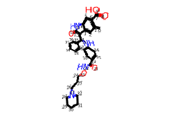 Cc1cc2c(cc1C(=O)O)NC(=O)/C2=C(/Nc1ccc(C(=O)NOCCCN2CCCCC2)cc1)c1ccccc1